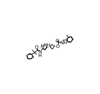 Cc1ccccc1CNC(=O)O[C@H]1C[C@@H](c2cc(NC(=O)C(C)(C)c3ccccc3)n[nH]2)C1